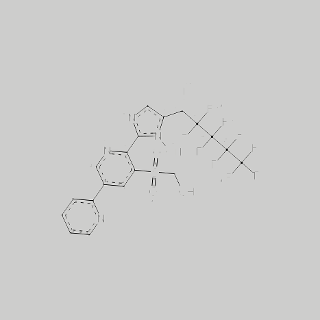 CCS(=O)(=O)c1cc(-c2ccccn2)cnc1-c1ncc([C@H](F)C(F)(F)C(F)(F)C(F)(F)C(F)(F)F)n1C